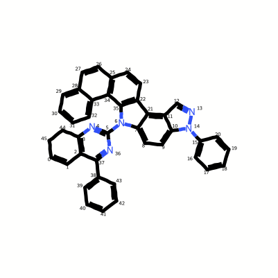 C1=Cc2c(nc(-n3c4ccc5c(cnn5-c5ccccc5)c4c4ccc5ccc6ccccc6c5c43)nc2-c2ccccc2)CC1